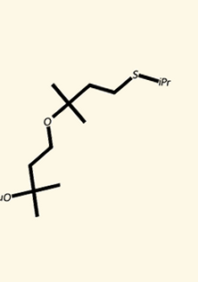 CC(C)COC(C)(C)CCOC(C)(C)CCSC(C)C